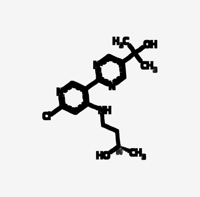 C[C@H](O)CCNc1cc(Cl)ncc1-c1ncc(C(C)(C)O)cn1